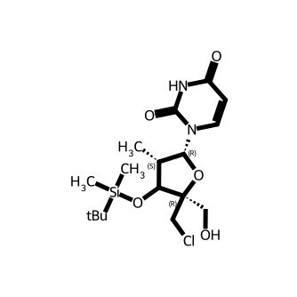 C[C@H]1C(O[Si](C)(C)C(C)(C)C)[C@](CO)(CCl)O[C@H]1n1ccc(=O)[nH]c1=O